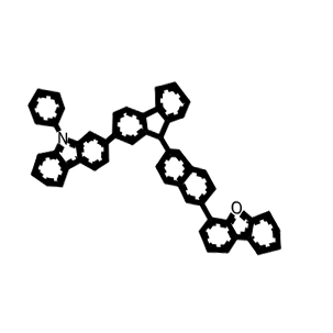 c1ccc(-n2c3ccccc3c3ccc(-c4ccc5c(c4)C(c4ccc6cc(-c7cccc8c7oc7ccccc78)ccc6c4)c4ccccc4-5)cc32)cc1